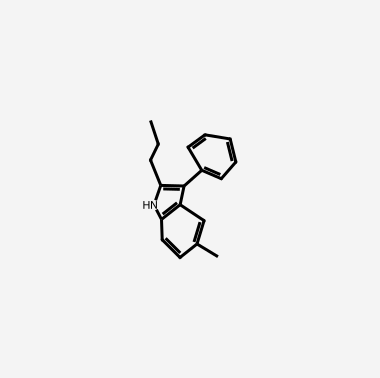 CCCc1[nH]c2ccc(C)cc2c1-c1ccccc1